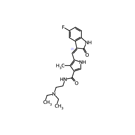 CCN(CC)CCNC(=O)c1c[nH]c(/C=C2\C(=O)Nc3ccc(F)cc32)c1C